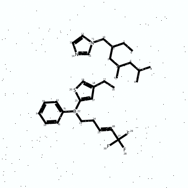 CCC(CC(C)CC(C)C)Cn1ccnc1.CCc1csc(B(CCC=CC(F)(F)F)c2ccccc2)c1